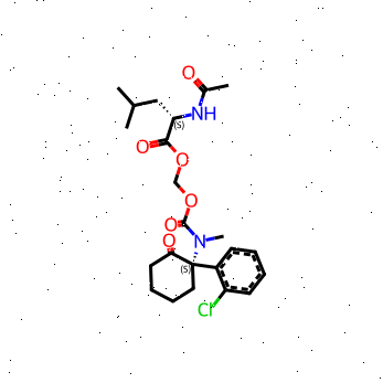 CC(=O)N[C@@H](CC(C)C)C(=O)OCOC(=O)N(C)[C@]1(c2ccccc2Cl)CCCCC1=O